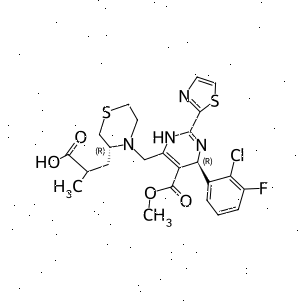 COC(=O)C1=C(CN2CCSC[C@H]2CC(C)C(=O)O)NC(c2nccs2)=N[C@H]1c1cccc(F)c1Cl